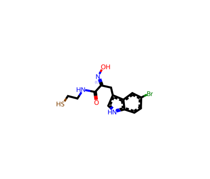 O=C(NCCS)/C(Cc1c[nH]c2ccc(Br)cc12)=N/O